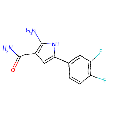 NC(=O)c1cc(-c2ccc(F)c(F)c2)[nH]c1N